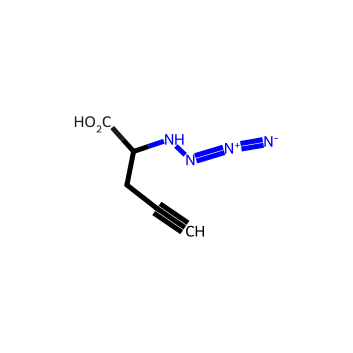 C#CCC(NN=[N+]=[N-])C(=O)O